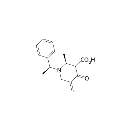 C=C1CN([C@@H](C)c2ccccc2)[C@@H](C)C(C(=O)O)C1=O